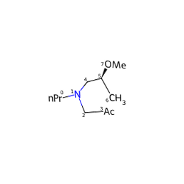 CCCN(CC(C)=O)C[C@H](C)OC